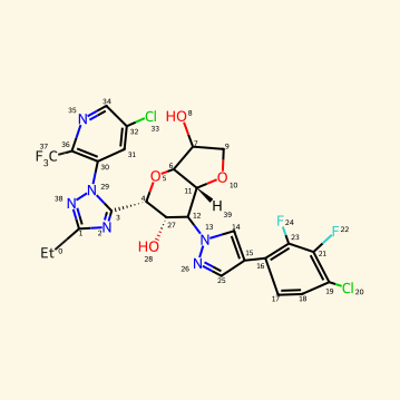 CCc1nc([C@@H]2OC3C(O)CO[C@@H]3C(n3cc(-c4ccc(Cl)c(F)c4F)cn3)[C@@H]2O)n(-c2cc(Cl)cnc2C(F)(F)F)n1